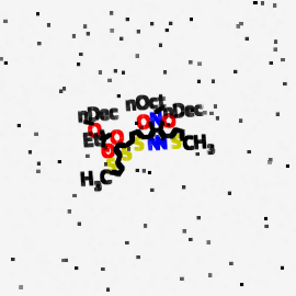 CCCCCCCCCCCCOCC1(CC)COc2c(-c3ccc(C)s3)sc(-c3ccc(-c4nnc(-c5ccc(C)s5)c5c4C(=O)N(CC(CCCCCCCC)CCCCCCCCCC)C5=O)s3)c2OC1